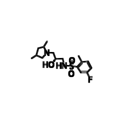 Cc1ccc(F)cc1S(=O)(=O)NC[C@@H](O)CN1CC(C)CC1C